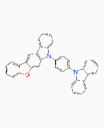 c1ccc2c(c1)oc1cc3c(cc12)c1ccccc1n3-c1ccc(-n2c3ccccc3c3ccccc32)cc1